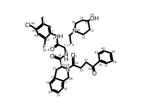 Cc1cc(NC(=O)[C@H](CCN2CCC(O)CC2)NC(=O)[C@@H]2Cc3ccccc3CN2C(=O)CCC(=O)c2ccccc2)c(F)cc1Cl